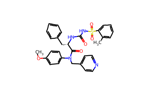 COc1ccc(N(Cc2ccncc2)C(=O)[C@H](Cc2ccccc2)NC(=O)NS(=O)(=O)c2ccccc2C)cc1